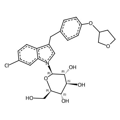 OC[C@H]1O[C@@H](n2cc(Cc3ccc(OC4CCOC4)cc3)c3ccc(Cl)cc32)[C@H](O)[C@@H](O)[C@@H]1O